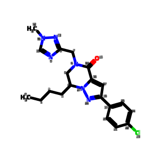 CCCCC1CN(Cc2ncn(C)n2)C(=O)c2cc(-c3ccc(Cl)cc3)nn21